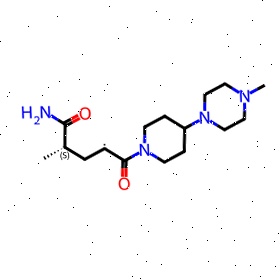 C[C@@H](C[CH]C(=O)N1CCC(N2CCN(C)CC2)CC1)C(N)=O